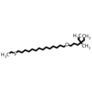 CCSCCCCCCCCCCCCCCOCCCC(C)(CC)CC